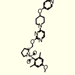 COc1cc(C)c(S(=O)(=O)N2CCC[C@H]2COc2nccc(N3CCC(Oc4ccncc4)CC3)n2)c(C)c1